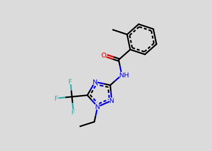 CCn1nc(NC(=O)c2ccccc2C)nc1C(F)(F)F